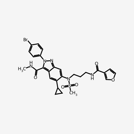 CNC(=O)c1c2cc(C3CC3)c(N(CCCNC(=O)c3ccoc3)S(C)(=O)=O)cc2nn1-c1ccc(Br)cc1